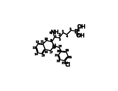 NC(CCCCB(O)O)C1Cc2ccccc2CN1Cc1ccc(Cl)cc1